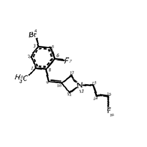 Cc1cc(Br)cc(F)c1C=C1CN(CCCF)C1